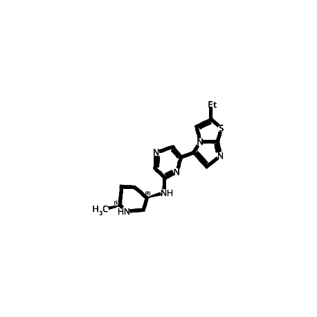 CCc1cn2c(-c3cncc(N[C@@H]4CC[C@H](C)NC4)n3)cnc2s1